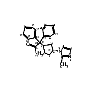 Cc1nccn1[C@@H]1CC[C@@H](C(C(N)=O)(c2ccccc2)c2ccccc2)C1